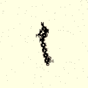 CC(C#N)Nc1cc(-n2ncc3cc(C#N)cnc32)ncc1-n1cc(C2CCC(N3CCN(c4ccc(N5CCC(=O)NC5=O)cc4)CC3)CC2)nn1